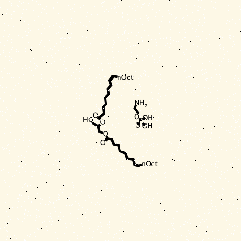 CCCCCCCC/C=C\CCCCCCCC(=O)OCC(CO)OC(=O)CCCCCCC/C=C\CCCCCCCC.NCCOP(=O)(O)O